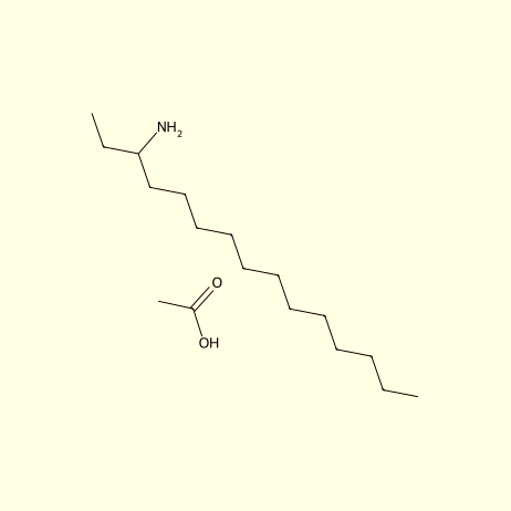 CC(=O)O.CCCCCCCCCCCCC(N)CC